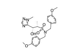 COc1ccc(CN(Cc2ccc(OC)cc2)S(=O)(=O)[C@@H](C)[C@H](O)c2ncnn2C)cc1